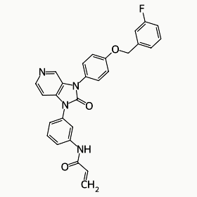 C=CC(=O)Nc1cccc(-n2c(=O)n(-c3ccc(OCc4cccc(F)c4)cc3)c3cnccc32)c1